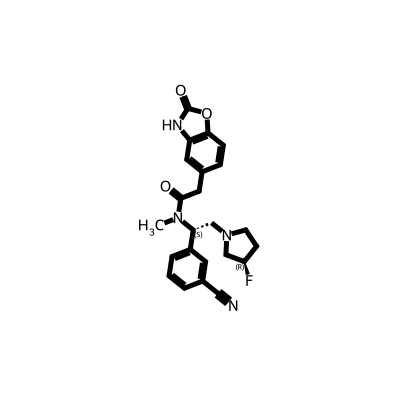 CN(C(=O)Cc1ccc2oc(=O)[nH]c2c1)[C@H](CN1CC[C@@H](F)C1)c1cccc(C#N)c1